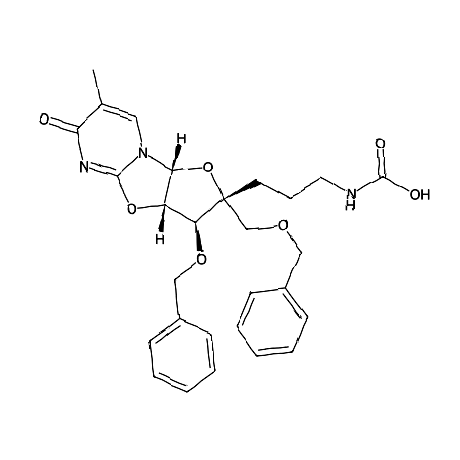 Cc1cn2c(nc1=O)O[C@@H]1[C@H]2O[C@](CCCNC(=O)O)(COCc2ccccc2)[C@H]1OCc1ccccc1